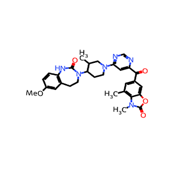 COc1ccc2c(c1)CCN(C1CCN(c3cc(C(=O)c4cc(C)c5c(c4)oc(=O)n5C)ncn3)CC1C)C(=O)N2